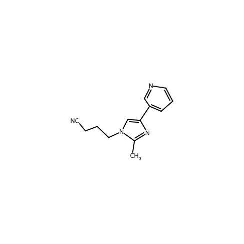 Cc1nc(-c2cccnc2)cn1CCCC#N